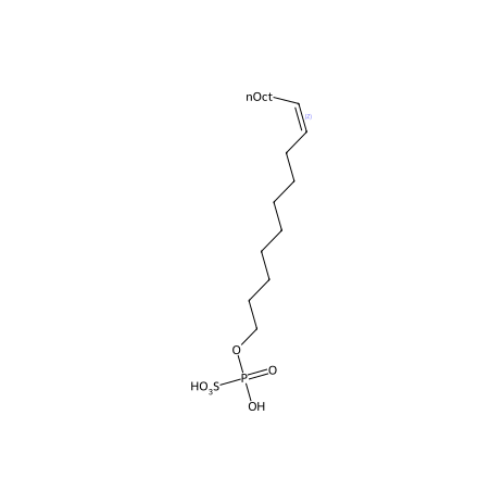 CCCCCCCC/C=C\CCCCCCCCOP(=O)(O)S(=O)(=O)O